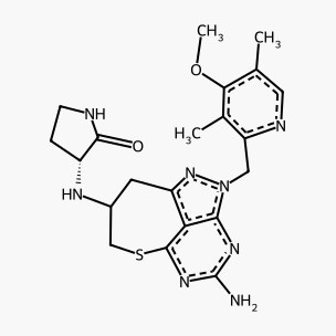 COc1c(C)cnc(Cn2nc3c4c(nc(N)nc42)SCC(N[C@@H]2CCNC2=O)C3)c1C